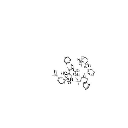 CNc1cccc(S(=O)(=O)N(C[C@@H](O)[C@H](Cc2ccccc2)NC(=O)O)CC(C)(C)CCN(Cc2ccccc2)Cc2ccccc2[C@@H]2CO[C@H]3OCC[C@H]32)c1